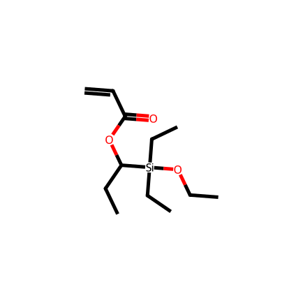 C=CC(=O)OC(CC)[Si](CC)(CC)OCC